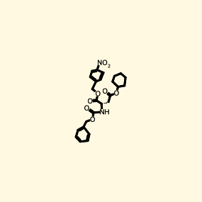 O=C(C[C@H](NC(=O)OCc1ccccc1)C(=O)OCc1ccc([N+](=O)[O-])cc1)OC1CCCCC1